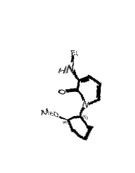 CCNc1cccn([C@H]2CCC[C@H]2OC)c1=O